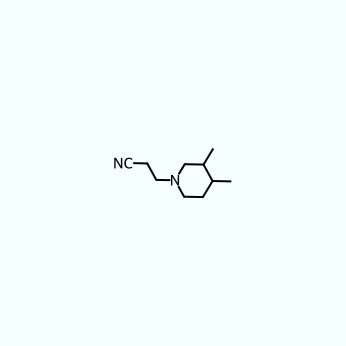 CC1CCN(CCC#N)CC1C